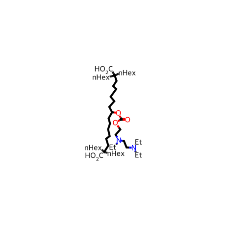 CCCCCCC(CCCCCC)(CCCCCCC(CCCCCCC(CCCCCC)(CCCCCC)C(=O)O)OC(=O)OCCN(CC)CCN(CC)CC)C(=O)O